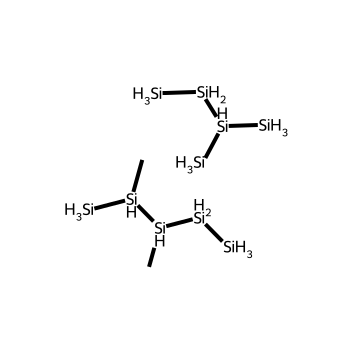 C[SiH]([SiH3])[SiH](C)[SiH2][SiH3].[SiH3][SiH2][SiH]([SiH3])[SiH3]